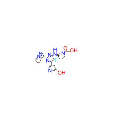 O=C(CO)N1CCC[C@@H](Nc2nc(-c3cnn4ccccc34)nc(-c3cncc(CO)c3)c2F)C1